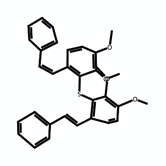 COc1ccc(C=Cc2ccccc2)c(Sc2c(C=Cc3ccccc3)ccc(OC)c2OC)c1OC